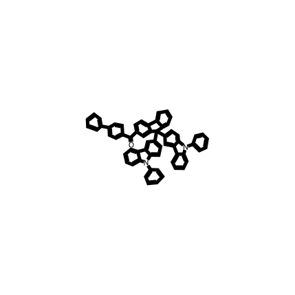 O=C(c1ccc(-c2ccccc2)cc1)c1ccc2c(c1)C(c1ccc3c(c1)c1ccccc1n3-c1ccccc1)(c1ccc3c(c1)c1ccccc1n3-c1ccccc1)c1ccccc1-2